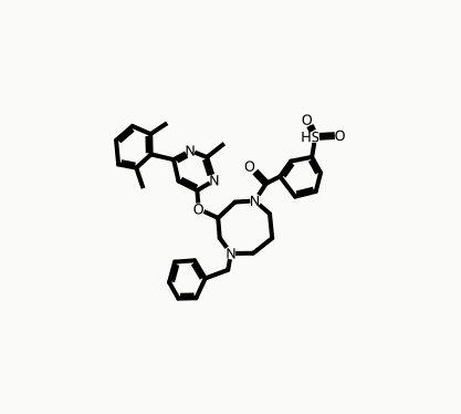 Cc1nc(OC2CN(Cc3ccccc3)CCCN(C(=O)c3cccc([SH](=O)=O)c3)C2)cc(-c2c(C)cccc2C)n1